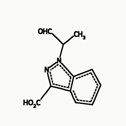 CC(C=O)n1nc(C(=O)O)c2ccccc21